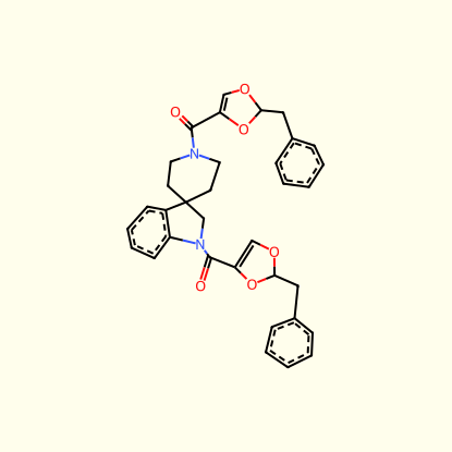 O=C(C1=COC(Cc2ccccc2)O1)N1CCC2(CC1)CN(C(=O)C1=COC(Cc3ccccc3)O1)c1ccccc12